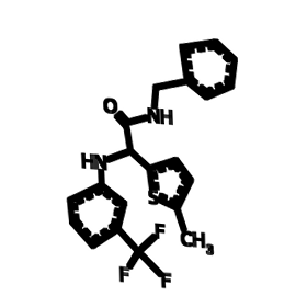 Cc1ccc(C(Nc2cccc(C(F)(F)F)c2)C(=O)NCc2ccccc2)s1